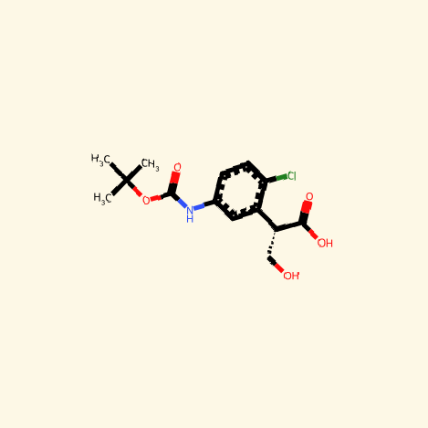 CC(C)(C)OC(=O)Nc1ccc(Cl)c([C@@H](CO)C(=O)O)c1